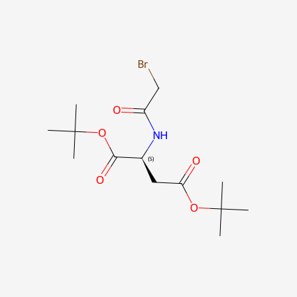 CC(C)(C)OC(=O)C[C@H](NC(=O)CBr)C(=O)OC(C)(C)C